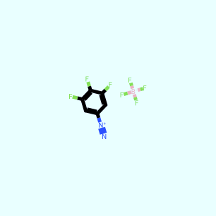 F[B-](F)(F)F.N#[N+]c1cc(F)c(F)c(F)c1